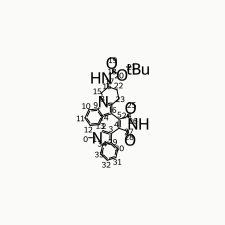 Cn1cc(C2=C(c3c4n(c5ccccc35)CC(NC(=O)OC(C)(C)C)CC4)C(=O)NC2=O)c2ccccc21